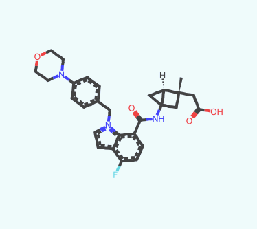 C[C@@]1(CC(=O)O)CC2(NC(=O)c3ccc(F)c4ccn(Cc5ccc(N6CCOCC6)cc5)c34)C[C@H]21